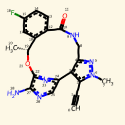 C#Cc1c2c(nn1C)CNC(=O)c1ccc(F)cc1[C@@H](C)Oc1nc-2cnc1N